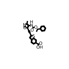 Cc1noc(C#Cc2cc3ccc(C(=O)O)cc3s2)c1NC(=O)OC(C)c1ccccc1